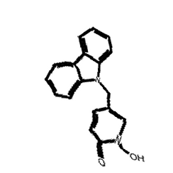 O=c1ccc(Cn2c3ccccc3c3ccccc32)cn1O